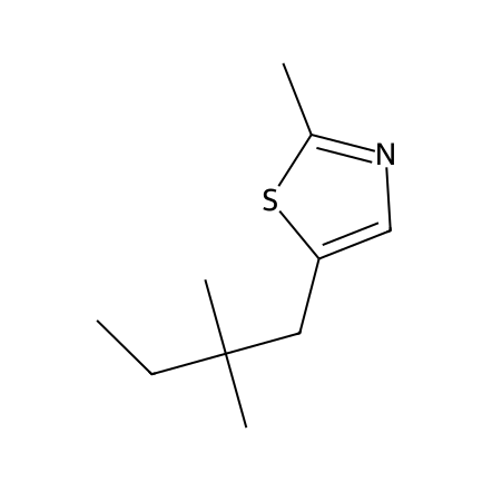 CCC(C)(C)Cc1cnc(C)s1